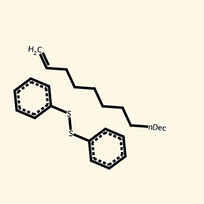 C=CCCCCCCCCCCCCCCCC.c1ccc(SSc2ccccc2)cc1